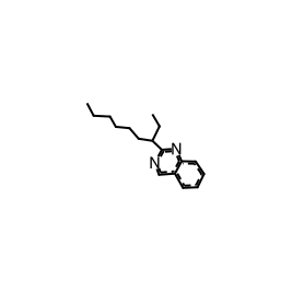 CCCCCCC(CC)c1ncc2ccccc2n1